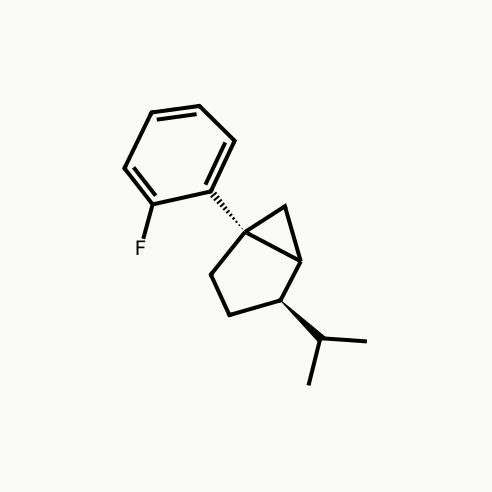 CC(C)[C@H]1CC[C@@]2(c3ccccc3F)CC12